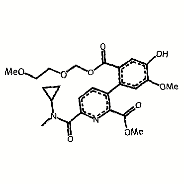 COCCOCOC(=O)c1cc(O)c(OC)cc1-c1ccc(C(=O)N(C)C2CC2)nc1C(=O)OC